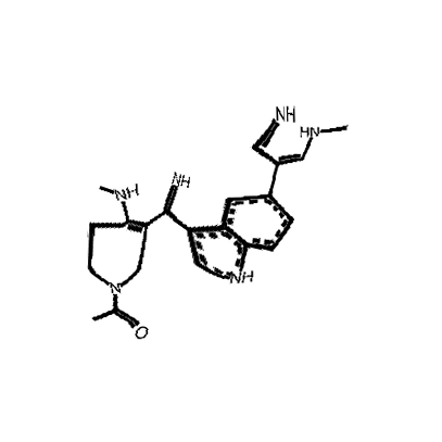 CN/C=C(\C=N)c1ccc2[nH]cc(C(=N)C3=C(NC)CCN(C(C)=O)C3)c2c1